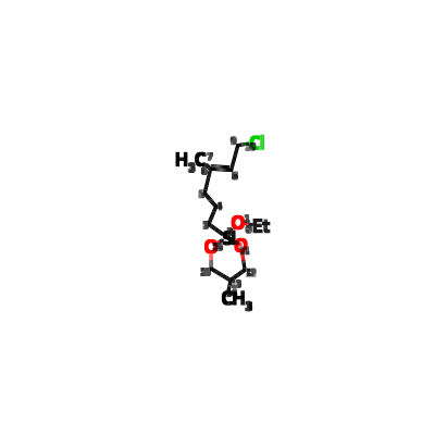 CCO[Si]1(CCCC(C)=CCCl)OCC(C)CO1